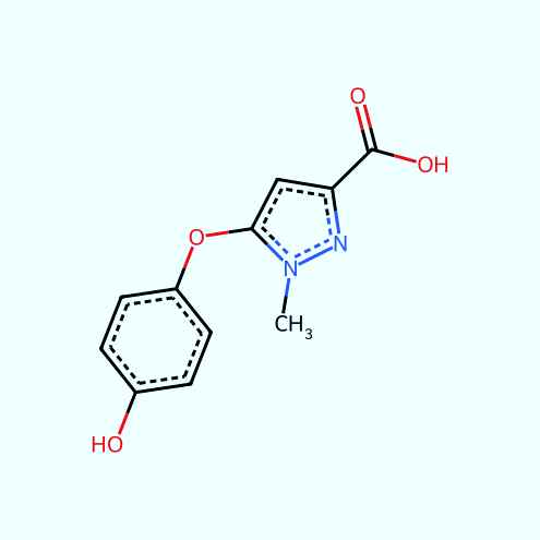 Cn1nc(C(=O)O)cc1Oc1ccc(O)cc1